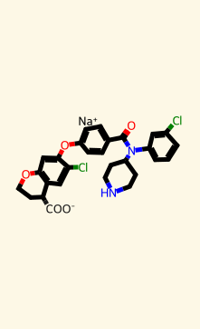 O=C([O-])C1CCOc2cc(Oc3ccc(C(=O)N(c4cccc(Cl)c4)C4CCNCC4)cc3)c(Cl)cc21.[Na+]